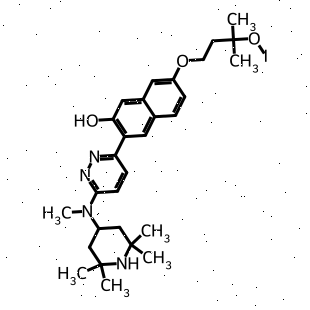 CN(c1ccc(-c2cc3ccc(OCCC(C)(C)OI)cc3cc2O)nn1)C1CC(C)(C)NC(C)(C)C1